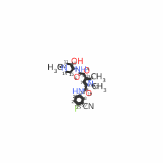 Cc1c(C(=O)C(=O)NC2=C(O)CN(C)CC2)cc(C(=O)Nc2ccc(F)c(C#N)c2)n1C